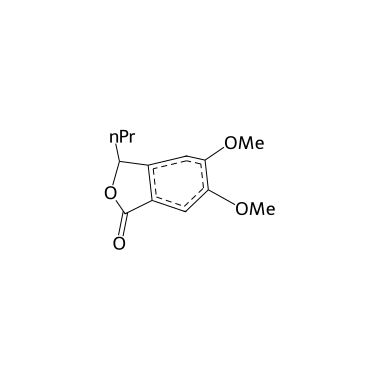 CCCC1OC(=O)c2cc(OC)c(OC)cc21